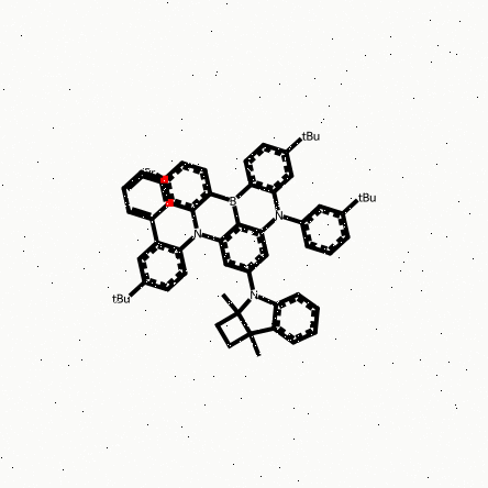 CC(C)c1ccc2c(c1)N(c1ccc(C(C)(C)C)cc1C1=CC=C=C=C1)c1cc(N3c4ccccc4C4(C)CCC34C)cc3c1B2c1ccc(C(C)(C)C)cc1N3c1cccc(C(C)(C)C)c1